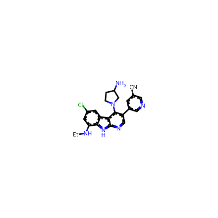 CCNc1cc(Cl)cc2c1[nH]c1ncc(-c3cncc(C#N)c3)c(N3CCC(N)C3)c12